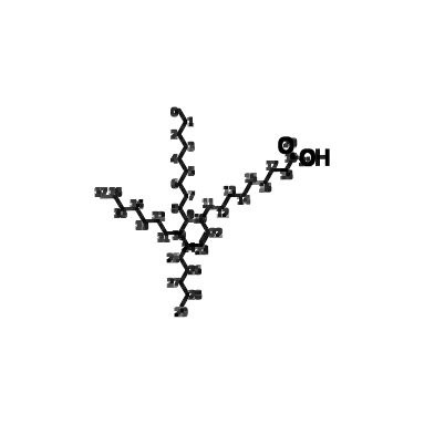 CCCCCCCCCC1C(CCCCCCCCC(=O)O)C=CC(CCCCC)C1CCCCCCC